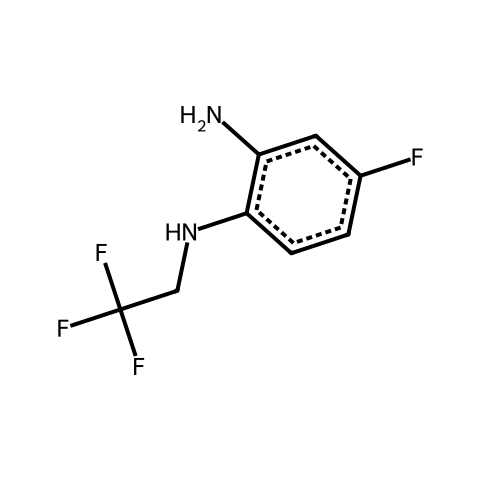 Nc1cc(F)ccc1NCC(F)(F)F